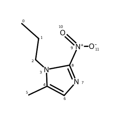 CCCn1c(C)cnc1[N+](=O)[O-]